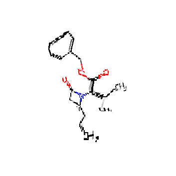 C=CC[C@H]1CC(=O)N1C(C(=O)OCc1ccccc1)=C(C)C